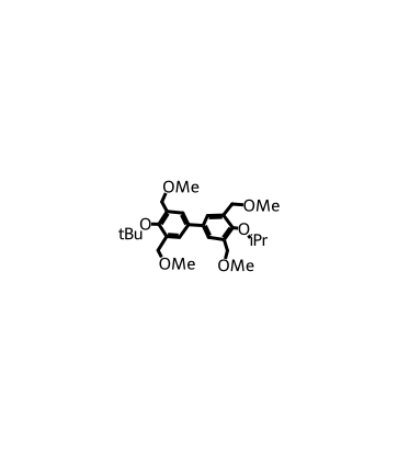 COCc1cc(-c2cc(COC)c(OC(C)(C)C)c(COC)c2)cc(COC)c1OC(C)C